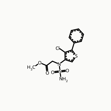 COC(=O)CN(c1csc(-c2ccccc2)c1Cl)S(N)(=O)=O